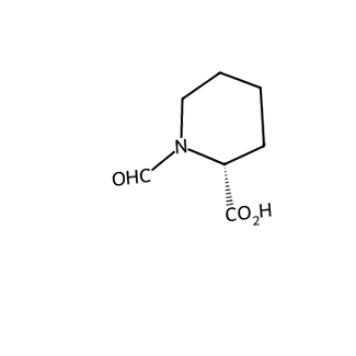 O=CN1CCCC[C@@H]1C(=O)O